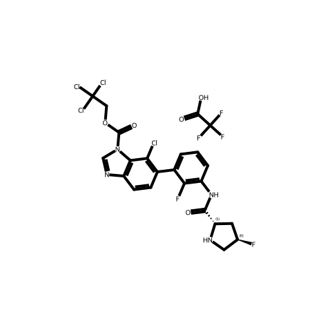 O=C(Nc1cccc(-c2ccc3ncn(C(=O)OCC(Cl)(Cl)Cl)c3c2Cl)c1F)[C@@H]1C[C@@H](F)CN1.O=C(O)C(F)(F)F